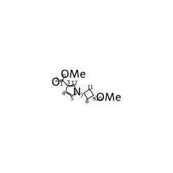 COC(=O)c1ccn([C@H]2C[C@@H](OC)C2)c1